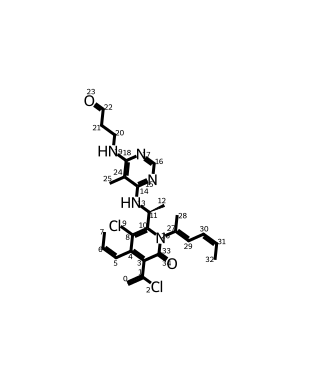 C=C(Cl)c1c(/C=C\C)c(Cl)c([C@H](C)Nc2ncnc(NCCC=O)c2C)n(/C(C)=C/C=C\C)c1=O